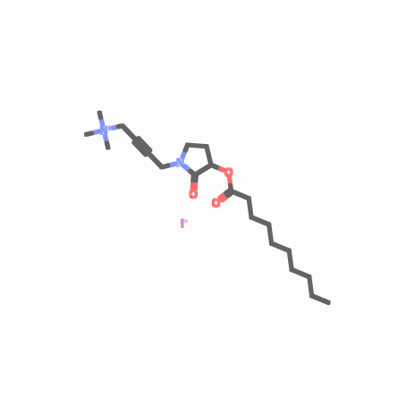 CCCCCCCCCC(=O)OC1CCN(CC#CC[N+](C)(C)C)C1=O.[I-]